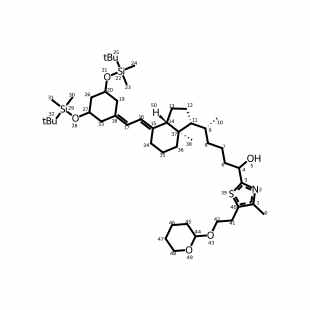 Cc1nc(C(O)CCC[C@@H](C)[C@H]2CC[C@H]3/C(=C/C=C4CC(O[Si](C)(C)C(C)(C)C)CC(O[Si](C)(C)C(C)(C)C)C4)CCC[C@]23C)sc1CCOC1CCCCO1